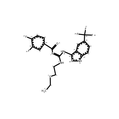 CCOCCN/C(=N/C(=O)c1ccc(F)c(F)c1)Nc1n[nH]c2ccc(C(F)(F)F)cc12